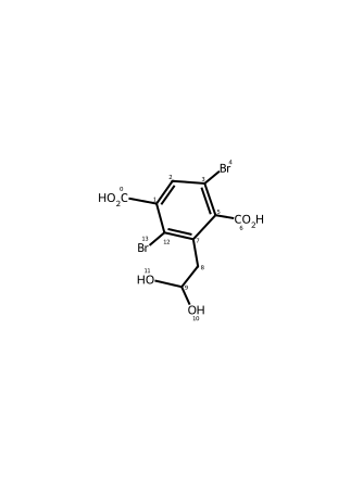 O=C(O)c1cc(Br)c(C(=O)O)c(CC(O)O)c1Br